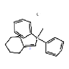 C[P+](/C=C1/CCCCO1)(c1ccccc1)c1ccccc1.[Cl-]